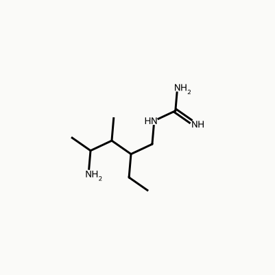 CCC(CNC(=N)N)C(C)C(C)N